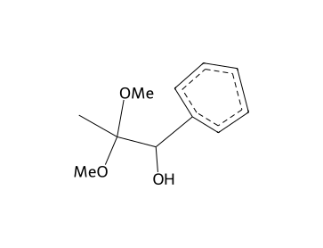 COC(C)(OC)C(O)c1ccccc1